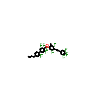 C=CCCc1ccc(-c2cc(F)c(C(F)(F)Oc3cc(F)c(C#Cc4cc(F)c(F)c(F)c4)c(F)c3C)c(F)c2)c(F)c1